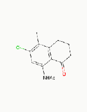 CC(=O)Nc1cc(Cl)c(C)c2c1C(=O)CCC2